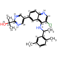 Cc1ccc(C)c(C(C)Nc2c(Cl)cnc3ccc(-c4cnc(C(C)(C)O)nc4)cc23)c1